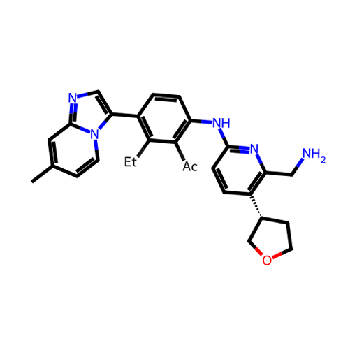 CCc1c(-c2cnc3cc(C)ccn23)ccc(Nc2ccc([C@@H]3CCOC3)c(CN)n2)c1C(C)=O